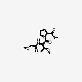 CNC(=O)C1CCCN1C(=O)C(NC(=O)COC)C(C)OC